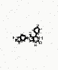 O=C1NC2=C(C(=O)N(c3ccc4[nH]ncc4c3)C2)C(c2ccc(Cl)cc2)N1